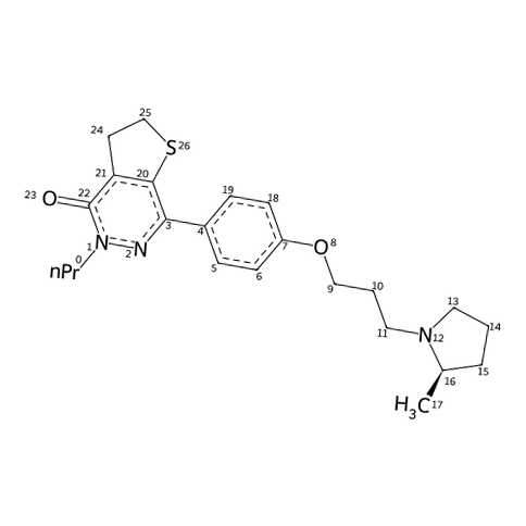 CCCn1nc(-c2ccc(OCCCN3CCC[C@H]3C)cc2)c2c(c1=O)CCS2